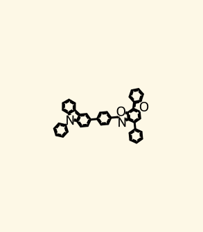 c1ccc(-c2cc3oc4ccccc4c3c3oc(-c4ccc(-c5ccc6c(c5)c5ccccc5n6-c5ccccc5)cc4)nc23)cc1